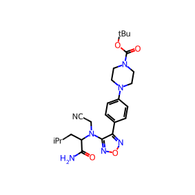 CC(C)CC(C(N)=O)N(CC#N)c1nonc1-c1ccc(N2CCN(C(=O)OC(C)(C)C)CC2)cc1